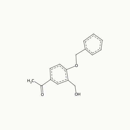 CC(=O)c1ccc(OCc2ccccc2)c(CO)c1